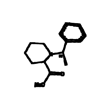 COC(=O)C1CCCCN1[C@H](C)c1ccccc1